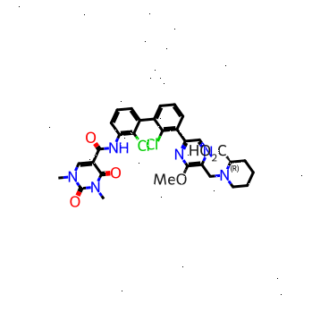 COc1nc(-c2cccc(-c3cccc(NC(=O)c4cn(C)c(=O)n(C)c4=O)c3Cl)c2Cl)cnc1CN1CCCC[C@@H]1C(=O)O